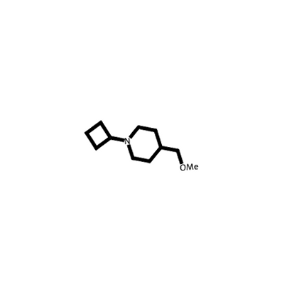 COCC1CCN(C2CCC2)CC1